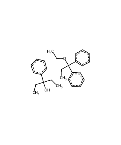 CCC(O)(CC)c1ccccc1.CCOC(CC)(c1ccccc1)c1ccccc1